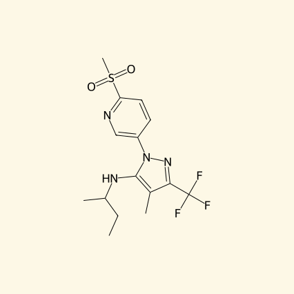 CCC(C)Nc1c(C)c(C(F)(F)F)nn1-c1ccc(S(C)(=O)=O)nc1